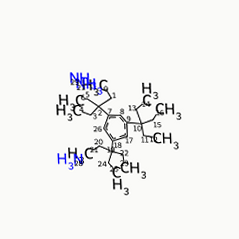 CCC(CC)(CC)c1cc(C(CC)(CC)CC)cc(C(CC)(CC)CC)c1.N.N.N